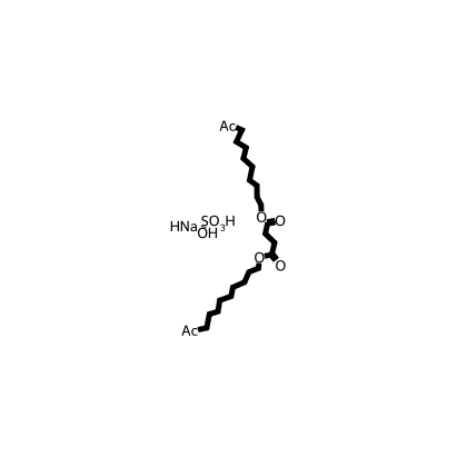 CC(=O)CCCCCCCCCOC(=O)CCC(=O)OCCCCCCCCCC(C)=O.O=S(=O)(O)O.[NaH]